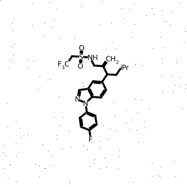 C=C(CNS(=O)(=O)CC(F)(F)F)C(CC(C)C)c1ccc2c(cnn2-c2ccc(F)cc2)c1